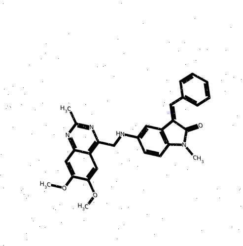 COc1cc2nc(C)nc(CNc3ccc4c(c3)/C(=C/c3ccccc3)C(=O)N4C)c2cc1OC